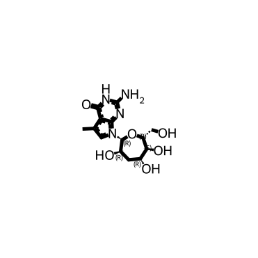 Cc1cn([C@@H]2O[C@H](CO)[C@@H](O)[C@H](O)C[C@H]2O)c2nc(N)[nH]c(=O)c12